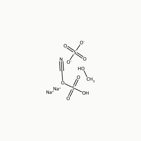 CO.N#COS(=O)(=O)O.O=S(=O)([O-])[O-].[Na+].[Na+]